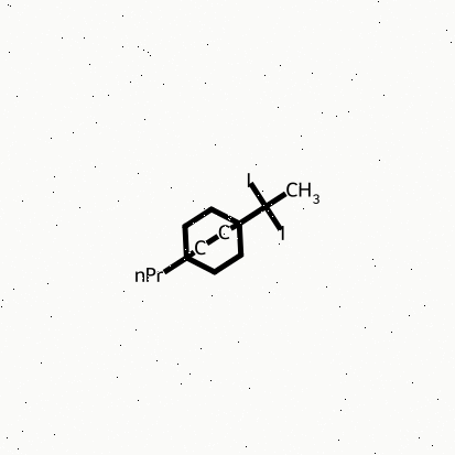 CCCC12CCC(C(C)(I)I)(CC1)CC2